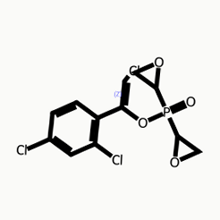 O=P(O/C(=C\Cl)c1ccc(Cl)cc1Cl)(C1CO1)C1CO1